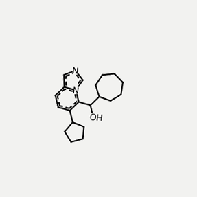 OC(c1c(C2CCCC2)ccc2cncn12)C1CCCCCC1